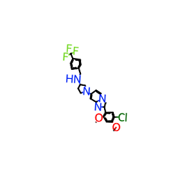 COc1cc(OC)c(C2CN3C=CC(N4CCC(NCc5ccc(C(F)(F)F)cc5)C4)=CC3=N2)cc1Cl